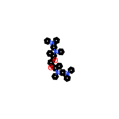 c1ccc(N(c2ccc3c(c2)c2ccccc2n3-c2ccccc2)c2cc3oc4c(ccc5oc6cc(N(c7ccccc7)c7ccc8c(c7)c7ccccc7n8-c7ccccc7)c7ccccc7c6c54)c3c3ccccc23)cc1